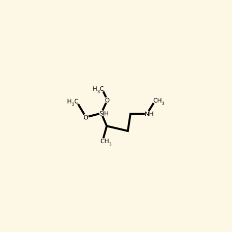 CNCCC(C)[SiH](OC)OC